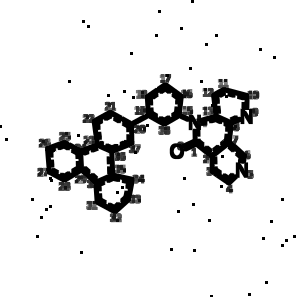 O=c1c2ccncc2c2ncccc2n1-c1cccc(-c2ccc3c4ccccc4c4ccccc4c3c2)c1